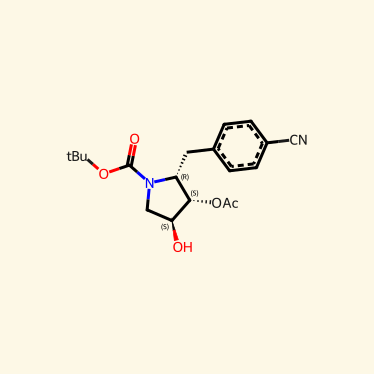 CC(=O)O[C@H]1[C@@H](Cc2ccc(C#N)cc2)N(C(=O)OC(C)(C)C)C[C@@H]1O